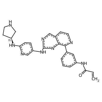 C=CC(=O)Nc1cccc(-c2nccc3cnc(Nc4ccc(N[C@H]5CCNC5)nc4)nc23)c1